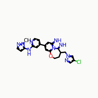 Cn1nccc1Nc1cc(-c2cc3n(c(=N)c2)C(=N)C(Cn2cc(Cl)cn2)CCO3)ccn1